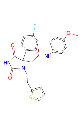 COc1ccc(NC(=O)CC2(c3ccc(F)cc3)C(=O)NC(=O)N2CCc2cccs2)cc1